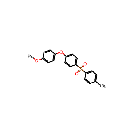 CC(C)Oc1ccc(Oc2ccc(S(=O)(=O)c3ccc(C(C)(C)C)cc3)cc2)cc1